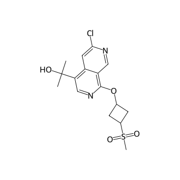 CC(C)(O)c1cnc(OC2CC(S(C)(=O)=O)C2)c2cnc(Cl)cc12